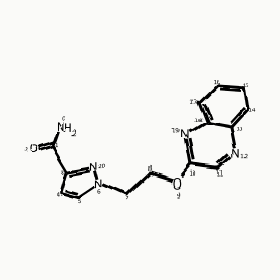 NC(=O)c1[c]cn(CCOc2cnc3ccccc3n2)n1